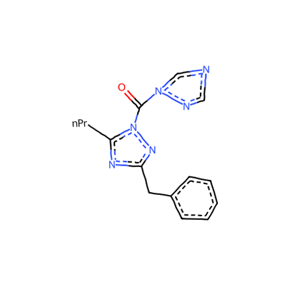 CCCc1nc(Cc2ccccc2)nn1C(=O)n1cncn1